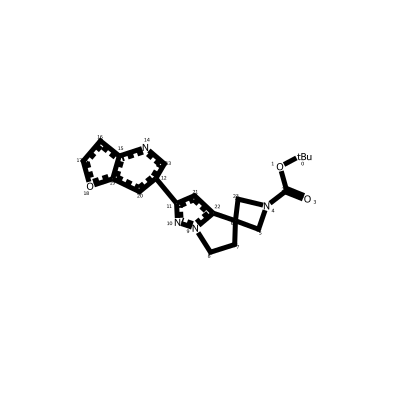 CC(C)(C)OC(=O)N1CC2(CCn3nc(-c4cnc5ccoc5c4)cc32)C1